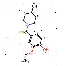 CCOc1cc(C(=S)N2CCC(C)CC2)ccc1O